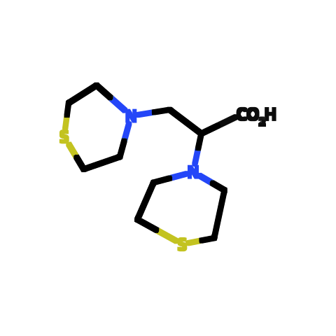 O=C(O)C(CN1CCSCC1)N1CCSCC1